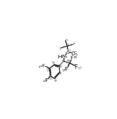 CC(C)(C)[S+]([O-])NC(c1ccc(F)c(F)c1)C(F)(F)F